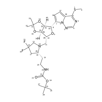 CSc1ncnn2c([C@@H]3O[C@H](CN4CC(F)(F)C[C@H]4CCNC(=O)OC(C)(C)C)[C@H]4OC(C)(C)O[C@H]43)ccc12